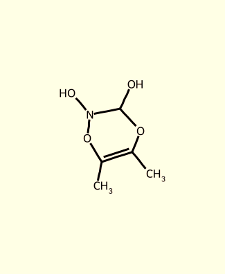 CC1=C(C)ON(O)C(O)O1